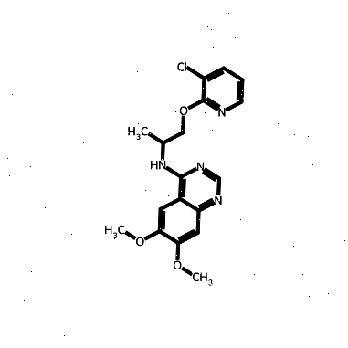 COc1cc2ncnc(NC(C)COc3ncccc3Cl)c2cc1OC